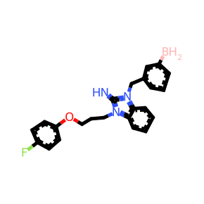 Bc1cccc(Cn2c(=N)n(CCCOc3ccc(F)cc3)c3ccccc32)c1